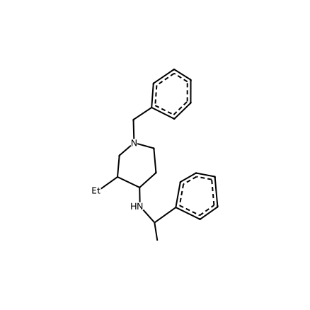 CCC1CN(Cc2ccccc2)CCC1NC(C)c1ccccc1